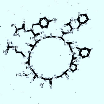 CC(C)[C@H](N)C(=O)N[C@@H](Cc1ccc(O)cc1)C(=O)N[C@H]1CSSC[C@@H](C(=O)N[C@@H](Cc2cccnc2)C(N)=O)NC(=O)[C@H](Cc2ccccc2)NC(=O)[C@@H]2CCCN2C(=O)CNC(=O)[C@H](C(C)C)NC(=O)[C@H](CC(=O)O)NC(=O)[C@H](CCCNC(=N)N)NC1=O